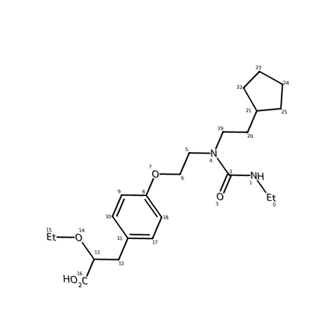 CCNC(=O)N(CCOc1ccc(CC(OCC)C(=O)O)cc1)CCC1CCCC1